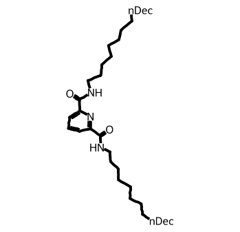 CCCCCCCCCCCCCCCCCCNC(=O)c1cccc(C(=O)NCCCCCCCCCCCCCCCCCC)n1